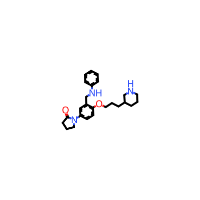 O=C1CCCN1c1ccc(OCCCC2CCCNC2)c(CNc2ccccc2)c1